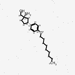 CCCCCCCCCOc1ccc([C@@H]2CC[C@](N)(CO)C2)cc1